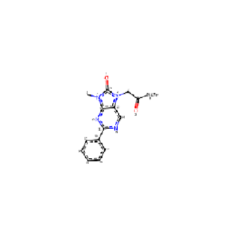 CNC(=O)Cn1c(=O)n(C)c2nc(-c3ccccc3)ncc21